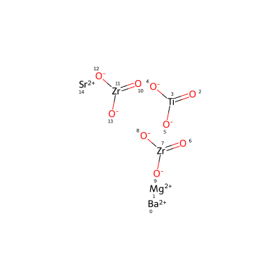 [Ba+2].[Mg+2].[O]=[Ti]([O-])[O-].[O]=[Zr]([O-])[O-].[O]=[Zr]([O-])[O-].[Sr+2]